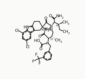 CC[C@H](C)C(NC(=O)[C@@]1(NC(=O)C([C@@H](C)CC)N(Cc2cccc(C(F)(F)F)c2)C(=O)O)CCc2[nH]c3c(Cl)cc(Cl)cc3c2C1)C(N)=O